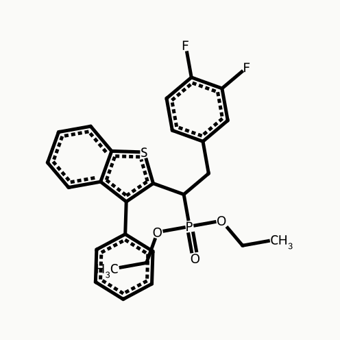 CCOP(=O)(OCC)C(Cc1ccc(F)c(F)c1)c1sc2ccccc2c1-c1ccccc1